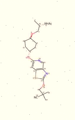 CC(=O)N[C@@H](C)CO[C@H]1CC[C@H](Oc2cc3sc(OCC(C)(C)C#N)nc3cn2)CC1